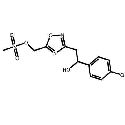 CS(=O)(=O)OCc1nc(CC(O)c2ccc(Cl)cc2)no1